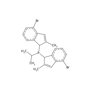 CC1=Cc2c(Br)cccc2C1P(C(C)C)C1C(C)=Cc2c(Br)cccc21